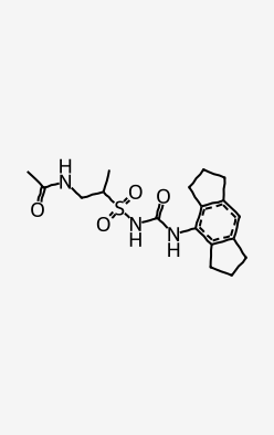 CC(=O)NCC(C)S(=O)(=O)NC(=O)Nc1c2c(cc3c1CCC3)CCC2